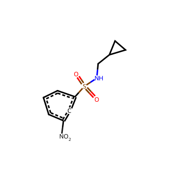 O=[N+]([O-])c1cccc(S(=O)(=O)NCC2CC2)c1